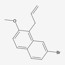 C=CCc1c(OC)ccc2ccc(Br)cc12